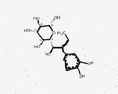 C/C=C(/c1ccc(O)c(O)c1)C(O)[C@H]1O[C@@H](O)[C@H](O)[C@@H](O)[C@@H]1O